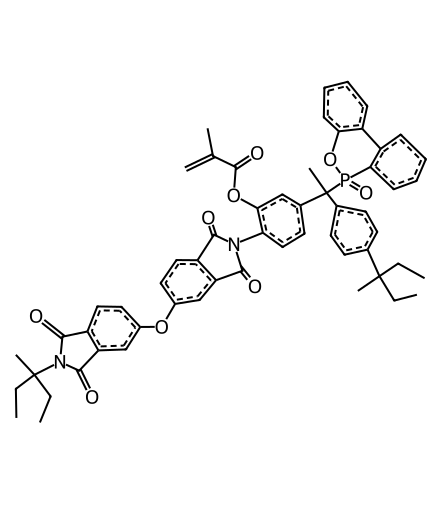 C=C(C)C(=O)Oc1cc(C(C)(c2ccc(C(C)(CC)CC)cc2)P2(=O)Oc3ccccc3-c3ccccc32)ccc1N1C(=O)c2ccc(Oc3ccc4c(c3)C(=O)N(C(C)(CC)CC)C4=O)cc2C1=O